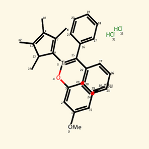 COc1cc([O][Ti]([C]2=C(C)C(C)=C(C)C2C)=[C](c2ccccc2)c2ccccc2)cc(C(C)(C)C)c1.Cl.Cl